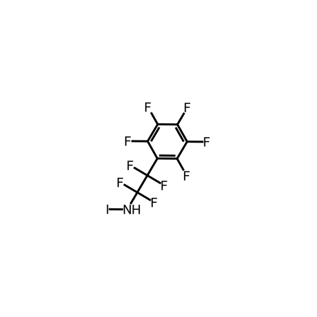 Fc1c(F)c(F)c(C(F)(F)C(F)(F)NI)c(F)c1F